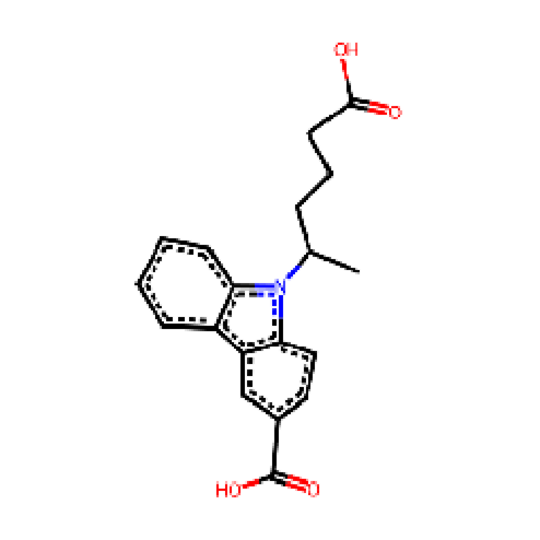 CC(CCCC(=O)O)n1c2ccccc2c2cc(C(=O)O)ccc21